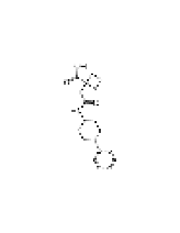 O=C(CC1(C(=O)O)CCC1)NC1CCC(c2ccccc2)CC1